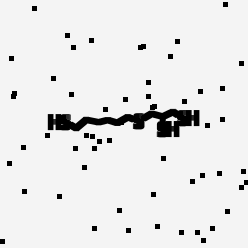 SCCCCCCSCC(S)CS